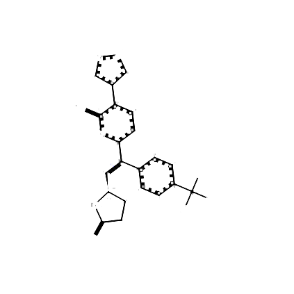 CC(C)(C)c1ccc(/C(=C\[C@H]2CCC(=O)N2)c2ccc(-c3cnoc3)c(=O)[nH]2)cc1